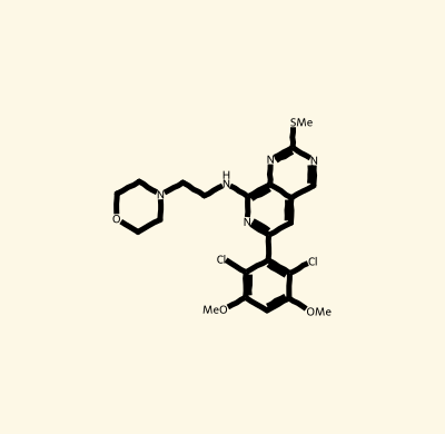 COc1cc(OC)c(Cl)c(-c2cc3cnc(SC)nc3c(NCCN3CCOCC3)n2)c1Cl